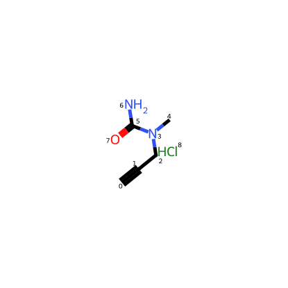 C#CCN(C)C(N)=O.Cl